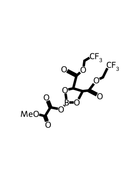 COC(=O)C(=O)OB1OC(C(=O)OCC(F)(F)F)C(C(=O)OCC(F)(F)F)O1